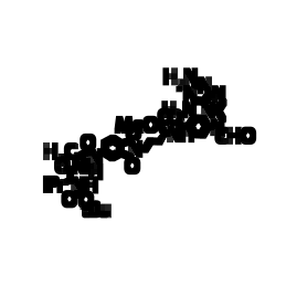 COC(=O)[C@H](CCCN1C(=O)c2ccc(NC(=O)[C@H](C)NC(=O)[C@@H](NC(=O)OC(C)(C)C)C(C)C)cc2C1=O)NC(=O)c1ccc(N(C=O)Cc2cnc3nc(N)nc(N)c3n2)cc1